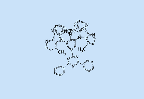 Cc1ccnc2c3nccc(C)c3n(-c3cc(-c4cc(-c5ccccc5)nc(-c5ccccc5)n4)cc(-n4c5c(C)ccnc5c5nccc(C)c54)c3N(c3ccccc3)c3ccccc3)c12